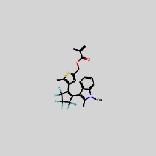 C=C(C)C(=O)OCc1cc(C2=C(c3c(C)n(CCCC)c4ccccc34)C(F)(F)C(F)(F)C2(F)F)c(C)s1